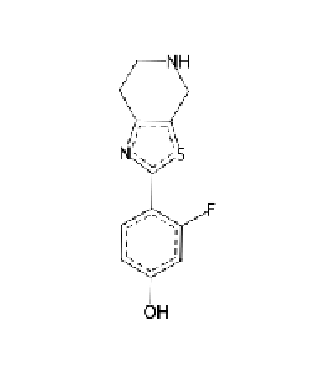 Oc1ccc(-c2nc3c(s2)CNCC3)c(F)c1